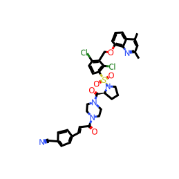 Cc1cc(C)c2cccc(OCc3c(Cl)ccc(S(=O)(=O)N4CCC[C@H]4C(=O)N4CCN(C(=O)/C=C/c5ccc(C#N)cc5)CC4)c3Cl)c2n1